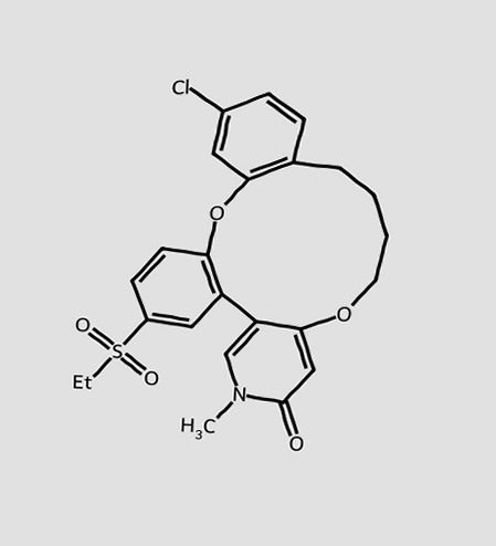 CCS(=O)(=O)c1ccc2c(c1)-c1cn(C)c(=O)cc1OCCCCc1ccc(Cl)cc1O2